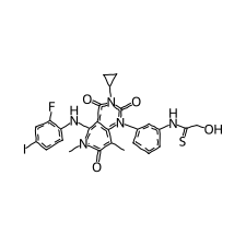 Cc1c(=O)n(C)c(Nc2ccc(I)cc2F)c2c(=O)n(C3CC3)c(=O)n(-c3cccc(NC(=S)CO)c3)c12